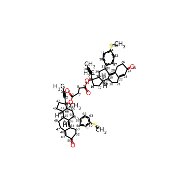 CC#C[C@]1(OC(=O)CCC(=O)O[C@@]2(C#CC)CC[C@H]3[C@@H]4CCC5=CC(=O)CCC5=C4[C@@H](c4ccc(SC)cc4)C[C@@]32C)CC[C@H]2[C@@H]3CCC4=CC(=O)CCC4=C3[C@@H](c3ccc(SC)cc3)C[C@@]21C